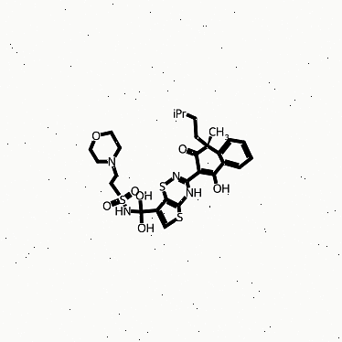 CC(C)CC[C@@]1(C)C(=O)C(C2=NSc3c(C(O)(O)NS(=O)(=O)CCN4CCOCC4)csc3N2)=C(O)c2ccccc21